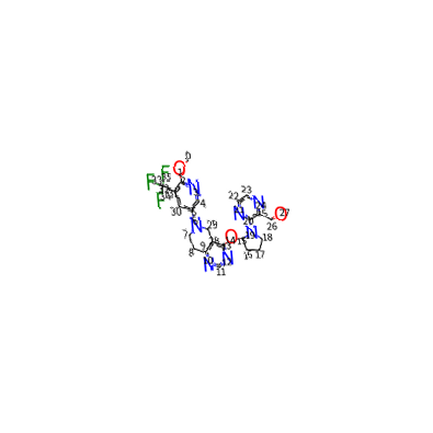 COc1ncc(N2CCc3ncnc(OC4CCCN4c4nccnc4C=O)c3C2)cc1C(F)(F)F